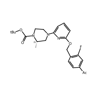 CC(=O)c1ccc(COc2cccc(N3CCN(C(=O)OC(C)(C)C)[C@@H](C)C3)n2)c(F)c1